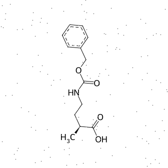 C[C@@H](CCNC(=O)OCc1ccccc1)C(=O)O